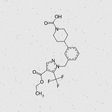 CCOC(=O)c1cnn(Cc2cccc(C3CCN(C(=O)O)CC3)c2)c1C(F)(F)F